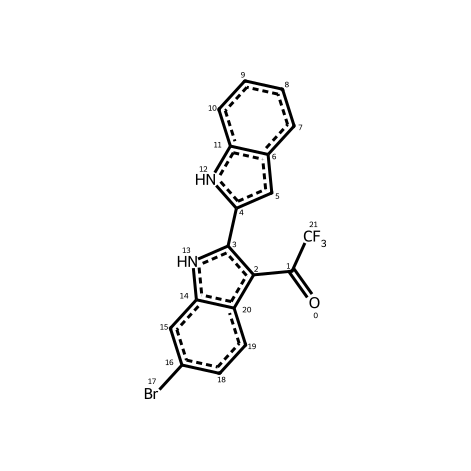 O=C(c1c(-c2cc3ccccc3[nH]2)[nH]c2cc(Br)ccc12)C(F)(F)F